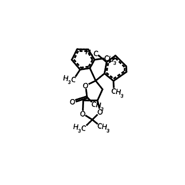 CC(=O)OC(CC1COC(C)(C)O1)(c1c(C)cccc1C)c1c(C)cccc1C